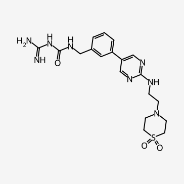 N=C(N)NC(=O)NCc1cccc(-c2cnc(NCCN3CCS(=O)(=O)CC3)nc2)c1